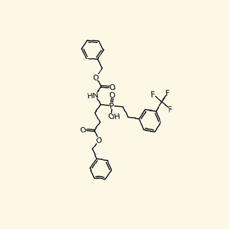 O=C(CCC(NC(=O)OCc1ccccc1)P(=O)(O)CCc1cccc(C(F)(F)F)c1)OCc1ccccc1